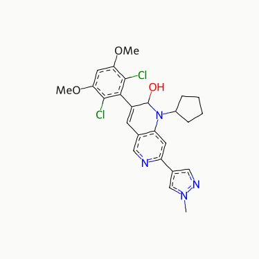 COc1cc(OC)c(Cl)c(C2=Cc3cnc(-c4cnn(C)c4)cc3N(C3CCCC3)C2O)c1Cl